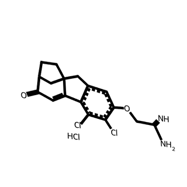 Cl.N=C(N)COc1cc2c(c(Cl)c1Cl)C1=CC(=O)C3CCC1(C2)C3